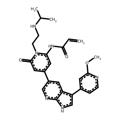 C=CC(=O)Nc1cc(-c2cnc3[nH]cc(-c4ccnc(OC)c4)c3c2)cc(=O)n1CCNC(C)C